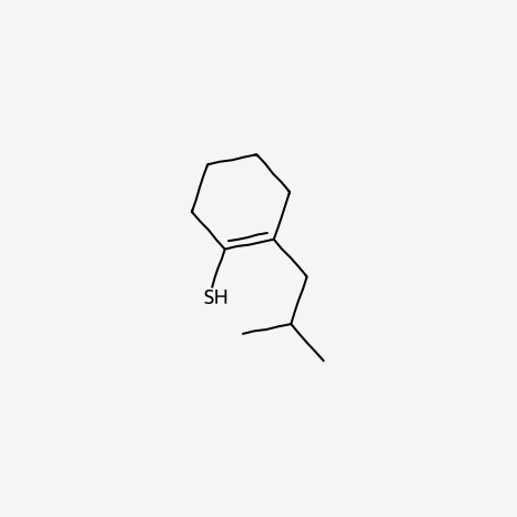 CC(C)CC1=C(S)CCCC1